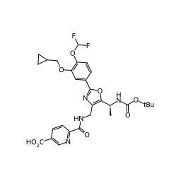 C[C@H](NC(=O)OC(C)(C)C)c1oc(-c2ccc(OC(F)F)c(OCC3CC3)c2)nc1CNC(=O)c1ccc(C(=O)O)cn1